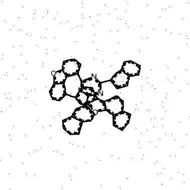 c1ccc2cc(-c3nc(-c4ccc5ccccc5c4)nc(-c4cccc5oc6cccc(-c7ccc8c(c7)oc7c9ccccc9ccc87)c6c45)n3)ccc2c1